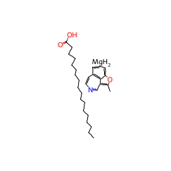 CCCCCCCCCCCCCCCCCC(=O)O.Cc1oc2cccc3c2c1C=NC=C3.[MgH2]